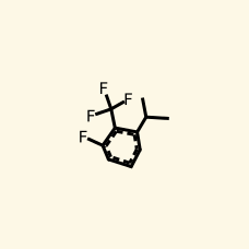 CC(C)c1cccc(F)c1C(F)(F)F